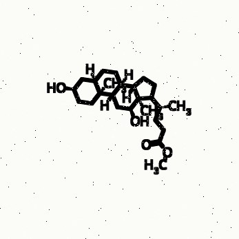 COC(=O)CC[C@@H](C)C1CC[C@H]2[C@@H]3CC[C@@H]4C[C@H](O)CC[C@]4(C)[C@H]3C[C@H](O)[C@]12C